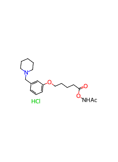 CC(=O)NOC(=O)CCCCOc1cccc(CN2CCCCC2)c1.Cl